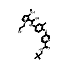 CNc1ccn(CCO)c1C(=N)Nc1ccc(Oc2ccc(C(=O)NCC(C)(C)C)nc2)c(C)c1